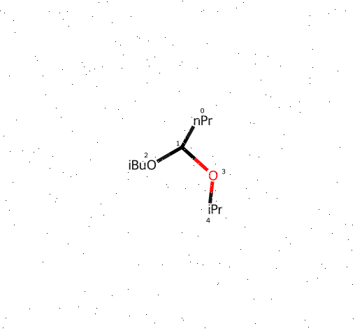 CCCC(OCC(C)C)OC(C)C